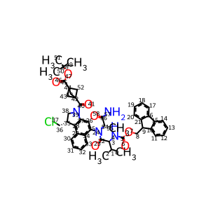 CC(C)[C@H](NC(=O)OCC1c2ccccc2-c2ccccc21)C(=O)N(c1cc2c(c3ccccc13)[C@H](CCl)CN2C(=O)C12CC(C(=O)OC(C)(C)C)(C1)C2)[C@@H](C)C(N)=O